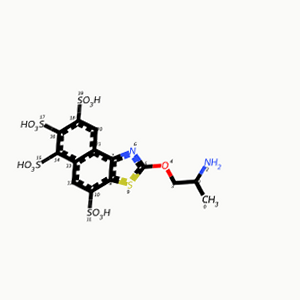 CC(N)COc1nc2c(s1)c(S(=O)(=O)O)cc1c(S(=O)(=O)O)c(S(=O)(=O)O)c(S(=O)(=O)O)cc12